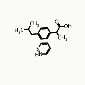 C1=CNSC=C1.CC(C)Cc1ccc(C(C)C(=O)O)cc1